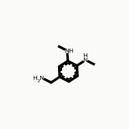 CNc1ccc(CN)cc1NC